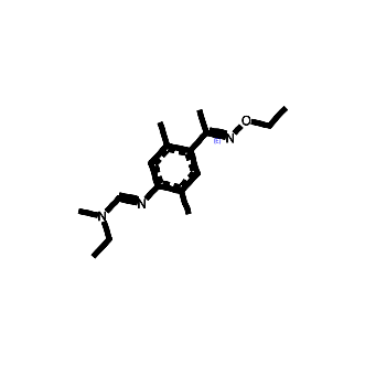 CCO/N=C(\C)c1cc(C)c(N=CN(C)CC)cc1C